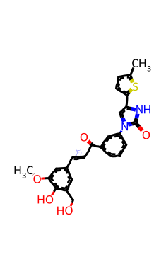 COc1cc(/C=C/C(=O)c2cccc(-n3cc(-c4ccc(C)s4)[nH]c3=O)c2)cc(CO)c1O